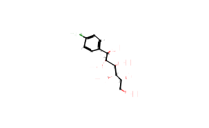 OC[C@@H](O)[C@@H](O)[C@H](O)[C@@H](O)C(O)c1ccc(Br)cc1